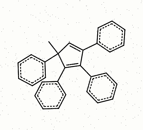 CC1(c2ccccc2)[C]=C(c2ccccc2)C(c2ccccc2)=C1c1ccccc1